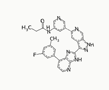 CCC(=O)Nc1cncc(-c2cc3c(-c4nc5c(-c6cc(C)cc(F)c6)ccnc5[nH]4)n[nH]c3cn2)c1